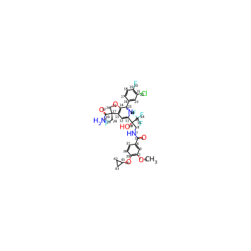 COc1cc(C(=O)NC[C@](O)(c2cc3c(c(-c4ccc(F)c(Cl)c4)n2)OC[C@@]3(CF)C(N)=O)C(F)(F)F)ccc1OC1CC1